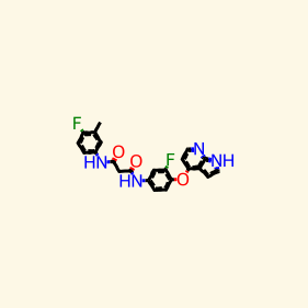 Cc1cc(NC(=O)CC(=O)Nc2ccc(Oc3ccnc4[nH]ccc34)c(F)c2)ccc1F